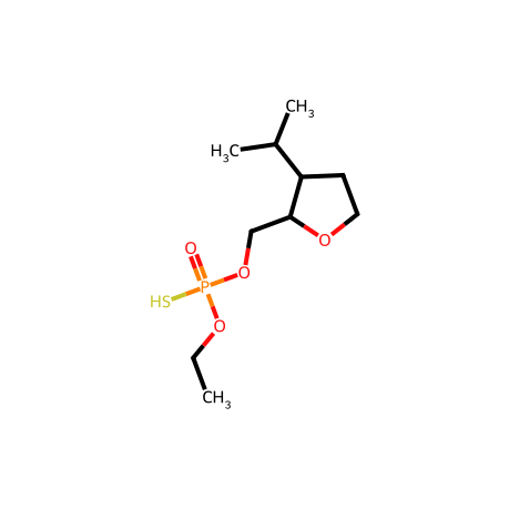 CCOP(=O)(S)OCC1OCCC1C(C)C